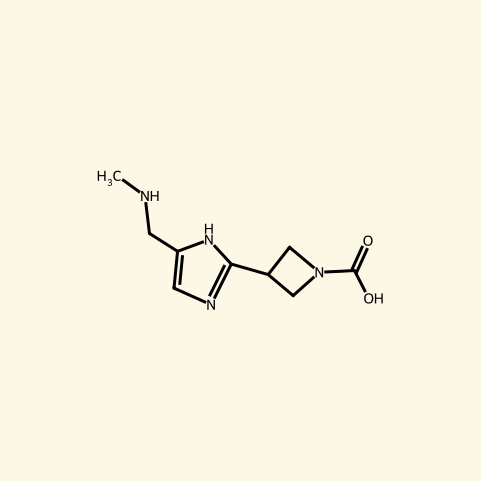 CNCc1cnc(C2CN(C(=O)O)C2)[nH]1